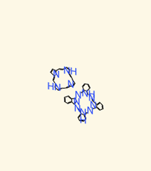 C1=Cc2cc3ccc(cc4nc(cc5ccc(cc1n2)[nH]5)C=C4)[nH]3.c1ccc2c(c1)-c1nc-2nc2[nH]c(nc3nc(nc4[nH]c(n1)c1ccccc41)-c1ccccc1-3)c1ccccc21